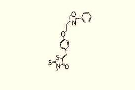 CN1C(=O)C(=Cc2ccc(OCCc3coc(-c4ccccc4)n3)cc2)SC1=S